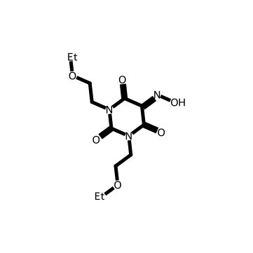 CCOCCN1C(=O)C(=NO)C(=O)N(CCOCC)C1=O